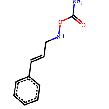 NC(=O)ONCC=Cc1ccccc1